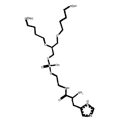 CCCCCCCCCCCCCCOCC(COP(=O)(O)OCCNC(=O)C(N)Cc1cnc[nH]1)OCCCCCCCCCCCCCC